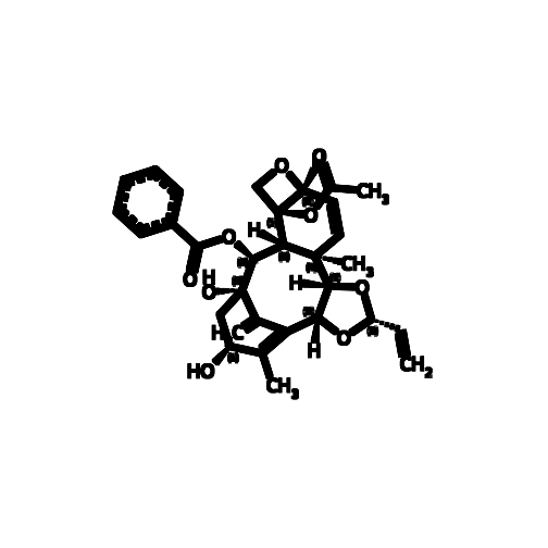 C=C[C@@H]1O[C@@H]2C3=C(C)[C@@H](O)C[C@](O)(C3=C)[C@@H](OC(=O)c3ccccc3)[C@H]3[C@@](C)(C=C[C@H]4OC[C@]43OC(C)=O)[C@@H]2O1